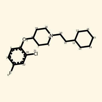 Fc1ccc(OC2CCN(CCC3CC[CH]CC3)CC2)c(Cl)c1